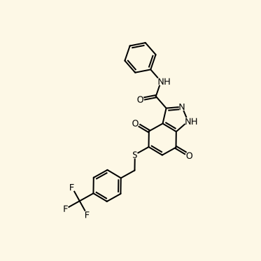 O=C(Nc1ccccc1)c1n[nH]c2c1C(=O)C(SCc1ccc(C(F)(F)F)cc1)=CC2=O